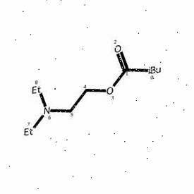 CCC(C)C(=O)OCCN(CC)CC